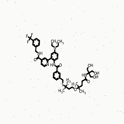 CCN(CC)c1ccc(NC(=O)c2cccc(CSC(C)(C)CCOC(C)(C)CCC(=O)NC(CO)(CO)CO)c2)c(-c2cc(C(=O)NCc3cccc(C(F)(F)F)c3)ccn2)c1